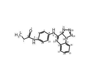 CCC(=O)Nc1ccc(Nc2nc3ccccc3n3nnnc23)cc1